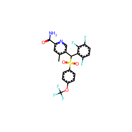 Cc1cc(C(N)=O)ncc1C(c1c(F)ccc(F)c1F)S(=O)(=O)c1ccc(OC(F)(F)F)cc1